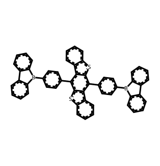 c1ccc2c(c1)B(c1ccc(-c3c4sc5ccccc5c4c(-c4ccc(B5c6ccccc6-c6ccccc65)cc4)c4sc5ccccc5c34)cc1)c1ccccc1-2